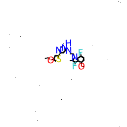 CCOc1csc(-c2cc(NCCn3c(C)c(F)c4c(OC)ccc(F)c43)ncn2)c1